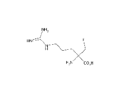 N=C(N)NCCCC(N)(CF)C(=O)O